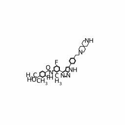 Cc1c(NC(=O)c2ccc(C(C)(C)O)cc2F)cc(F)cc1-c1ncnc2[nH]c(-c3ccc(CCN4CCC5(CCNCC5)CC4)cc3)cc12